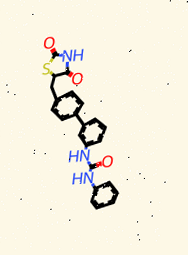 O=C(Nc1ccccc1)Nc1cccc(-c2ccc(CC3SC(=O)NC3=O)cc2)c1